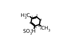 CC1=CCC(C)C(S(=O)(=O)O)=C1